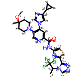 COC1(C)CCN(c2cnc(C(=O)Nc3csc(-c4nncn4C(C)C(F)(F)F)n3)cc2-n2cnc(C3CC3)c2)CC1